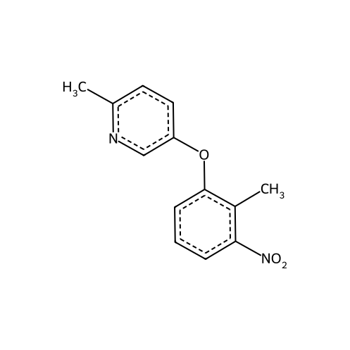 Cc1ccc(Oc2cccc([N+](=O)[O-])c2C)cn1